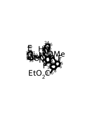 C#Cc1c(F)ccc2cc(CC(=O)OCC)cc(-c3c(F)c(OC)c4c(N5CC6CCC(C5)N6)nc(OC[C@@]56CCCN5C[C@H](F)C6)nc4c3F)c12